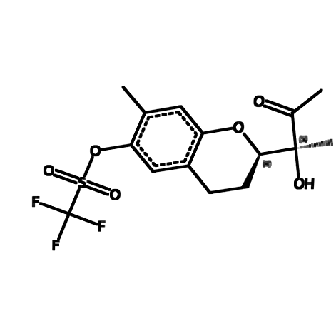 CC(=O)[C@@](C)(O)[C@H]1CCc2cc(OS(=O)(=O)C(F)(F)F)c(C)cc2O1